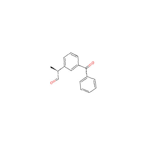 C[C@H](C=O)c1cccc(C(=O)c2ccccc2)c1